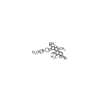 COc1cc2nc(C)nc(N[C@H](C)c3cccc(C#N)c3C)c2cc1N1CCC(N2CCN(C)CC2)CC1